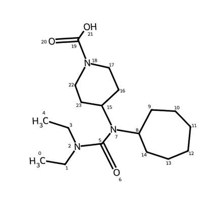 CCN(CC)C(=O)N(C1CCCCCC1)C1CCN(C(=O)O)CC1